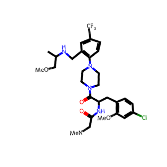 CNCC(=O)NC(Cc1ccc(Cl)cc1OC)C(=O)N1CCN(c2ccc(C(F)(F)F)cc2CNC(C)COC)CC1